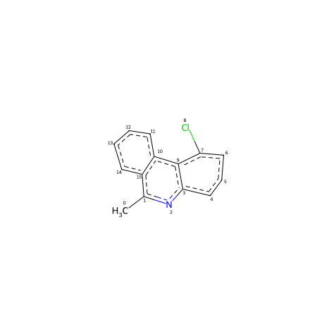 Cc1nc2cccc(Cl)c2c2ccccc12